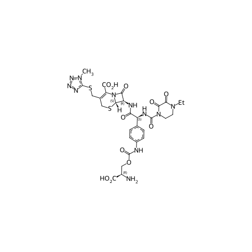 CCN1CCN(C(=O)N[C@H](C(=O)N[C@@H]2C(=O)N3C(C(=O)O)=C(CSc4nnnn4C)CS[C@@H]23)c2ccc(NC(=O)OC[C@@H](N)C(=O)O)cc2)C(=O)C1=O